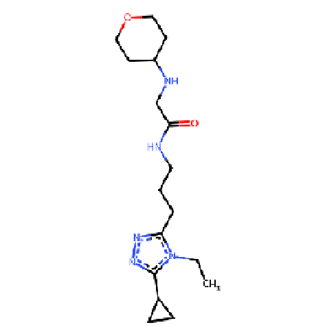 CCn1c(CCCNC(=O)CNC2CCOCC2)nnc1C1CC1